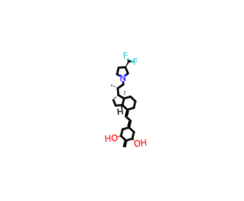 C=C1[C@H](O)CC(=C/C=C2\CCC[C@]3(C)[C@@H]([C@H](C)CN4CC[C@@H](C(F)F)C4)CC[C@@H]23)C[C@H]1O